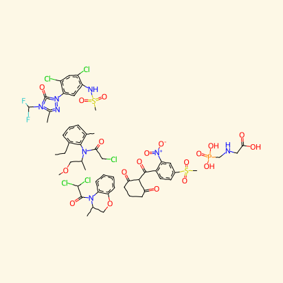 CC1COc2ccccc2N1C(=O)C(Cl)Cl.CCc1cccc(C)c1N(C(=O)CCl)C(C)COC.CS(=O)(=O)c1ccc(C(=O)C2C(=O)CCCC2=O)c([N+](=O)[O-])c1.Cc1nn(-c2cc(NS(C)(=O)=O)c(Cl)cc2Cl)c(=O)n1C(F)F.O=C(O)CNCP(=O)(O)O